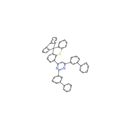 c1ccc(-c2cccc(-c3cc(-c4cccc5c4Sc4ccccc4C54c5ccccc5-c5ccccc54)nc(-c4cccc(-c5ccccc5)c4)n3)c2)cc1